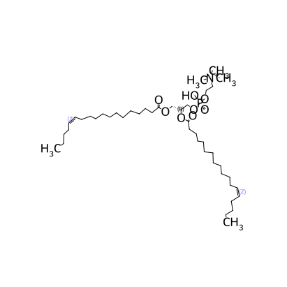 CCCC/C=C\CCCCCCCCCCCC(=O)OC[C@H](COP(=O)(O)OCC[N+](C)(C)C)OC(=O)CCCCCCCCCCC/C=C\CCCC